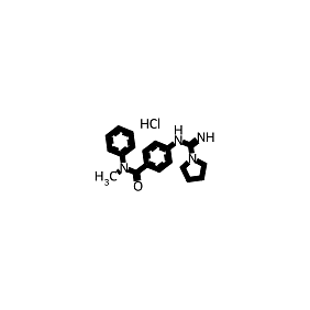 CN(C(=O)c1ccc(NC(=N)N2CCCC2)cc1)c1ccccc1.Cl